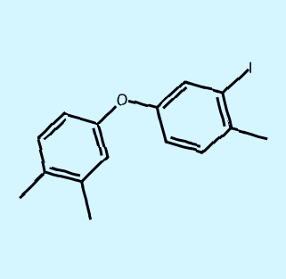 Cc1ccc(Oc2ccc(C)c(I)c2)cc1C